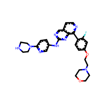 Fc1cc(OCCN2CCOCC2)ccc1-c1nccc2cnc(Nc3ccc(N4CCNCC4)nc3)nc12